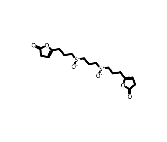 O=C1CC=C(CCC[S+]([O-])CCC[S+]([O-])CCCC2=CCC(=O)O2)O1